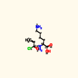 C=CC(=O)Cl.NCCCCC(N)C(=O)O